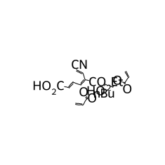 C=CC(=O)OCCCC.C=CC(=O)OCCO.CCOC(=O)C(C=CC#N)=CC=CC(=O)O